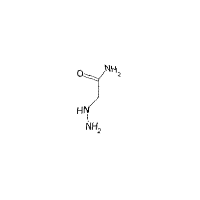 NNCC(N)=O